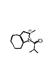 CC(C)C(=O)N1C2=C(CCCC2)C[C@H]1C